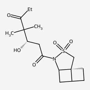 CCC(=O)C(C)(C)[C@@H](O)CC(=O)N1C2CC3CC[C@]32CS1(=O)=O